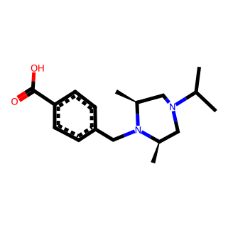 CC(C)N1C[C@@H](C)N(Cc2ccc(C(=O)O)cc2)[C@@H](C)C1